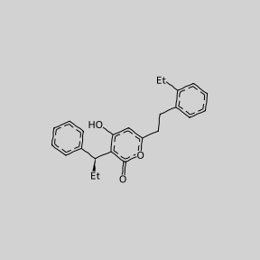 CCc1ccccc1CCc1cc(O)c([C@@H](CC)c2ccccc2)c(=O)o1